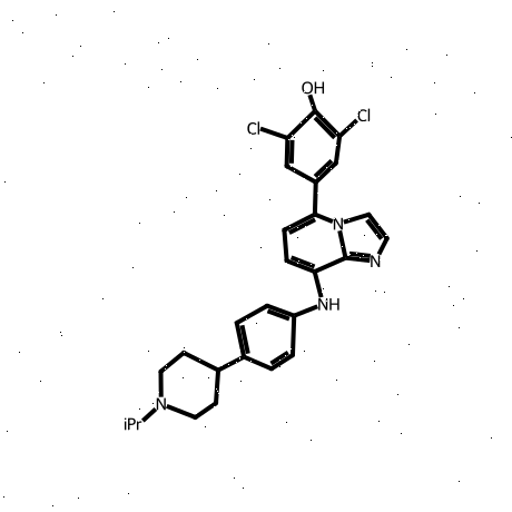 CC(C)N1CCC(c2ccc(Nc3ccc(-c4cc(Cl)c(O)c(Cl)c4)n4ccnc34)cc2)CC1